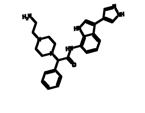 NCCN1CCN(C(C(=O)Nc2cccc3c(-c4cn[nH]c4)c[nH]c23)c2ccccc2)CC1